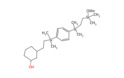 CO[Si](C)(C)CC[Si](C)(C)c1ccc([Si](C)(C)CCC2CCCC(O)C2)cc1